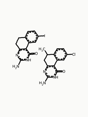 CC1Cc2nc(N)[nH]c(=O)c2-c2cc(Cl)ccc21.Nc1nc2c(c(=O)[nH]1)-c1cc(I)ccc1CC2